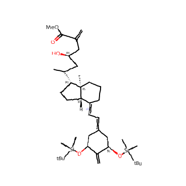 C=C(C[C@H](O)CC(C)[C@H]1CC[C@H]2/C(=C/C=C3CC(O[Si](C)(C)C(C)(C)C)C(=C)[C@H](O[Si](C)(C)C(C)(C)C)C3)CCC[C@]12C)C(=O)OC